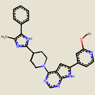 Cc1nc(C2CCN(c3ncnc4[nH]c(-c5ccnc(OC(C)C)c5)cc34)CC2)[nH]c1-c1ccccc1